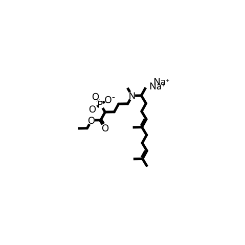 CCOC(=O)C(CCCN(C)C(C)CC/C=C(\C)CCC=C(C)C)P(=O)([O-])[O-].[Na+].[Na+]